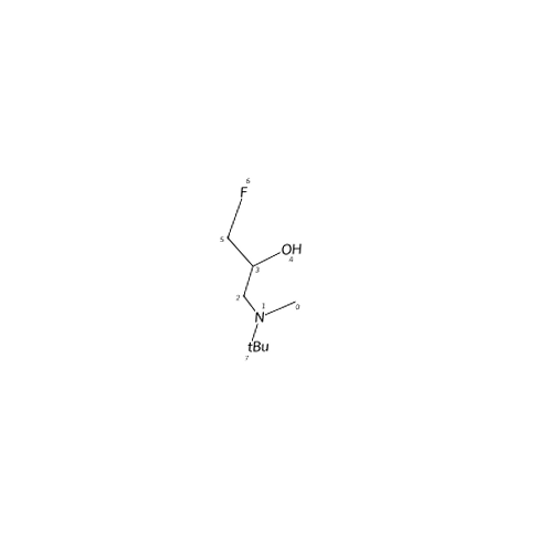 CN(CC(O)CF)C(C)(C)C